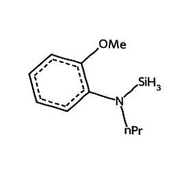 CCCN([SiH3])c1ccccc1OC